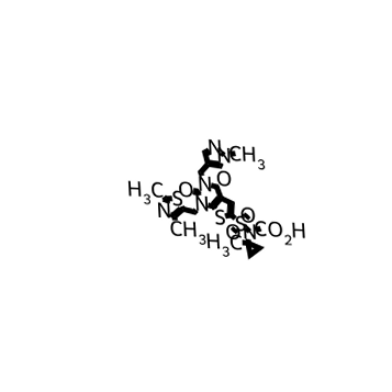 Cc1nc(C)c(Cn2c(=O)n(Cc3cnn(C)c3)c(=O)c3cc(S(=O)(=O)N(C(=O)O)C4(C)CC4)sc32)s1